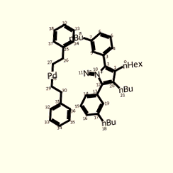 CCCCCCC1=C(c2cccc(CCCC)c2)[N+](=[N-])C(c2cccc(CCCC)c2)=C1CCCC.c1ccc(C[CH2][Pd][CH2]Cc2ccccc2)cc1